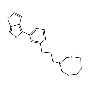 c1cc(OCCN2CCCCCCC2)cc(-c2onc3sccc23)c1